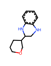 [CH]1OCCCC1C1CNc2ccccc2N1